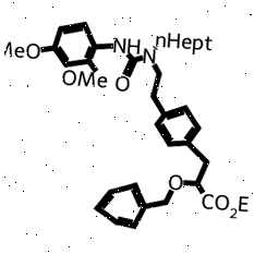 CCCCCCCN(CCc1ccc(CC(OCc2ccccc2)C(=O)OCC)cc1)C(=O)Nc1ccc(OC)cc1OC